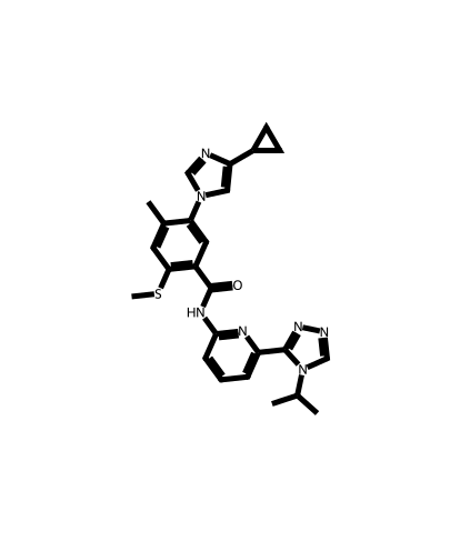 CSc1cc(C)c(-n2cnc(C3CC3)c2)cc1C(=O)Nc1cccc(-c2nncn2C(C)C)n1